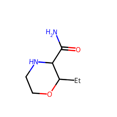 CCC1OCCNC1C(N)=O